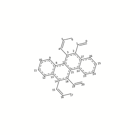 C=Cc1c(/C=C\C)c2c3ccccc3c(/C=C\C)c(C=C)c2c2ccccc12